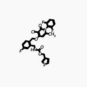 Cc1cc(OCc2ccc(F)cc2CNC(=O)OCc2ccsc2)c(Cl)c(=O)n1-c1c(F)cccc1F